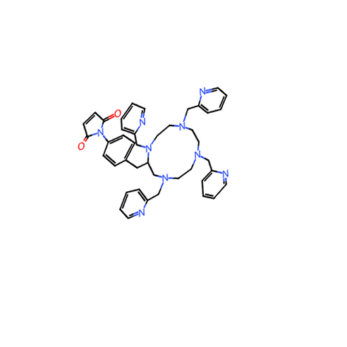 O=C1C=CC(=O)N1c1ccc(CC2CN(Cc3ccccn3)CCN(Cc3ccccn3)CCN(Cc3ccccn3)CCN2Cc2ccccn2)cc1